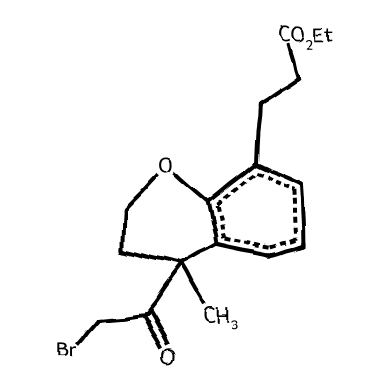 CCOC(=O)CCc1cccc2c1OCCC2(C)C(=O)CBr